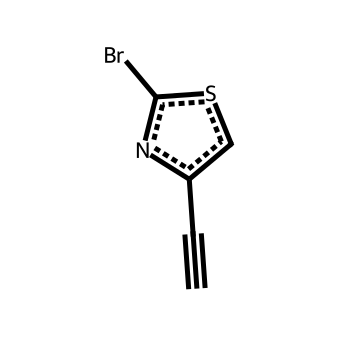 C#Cc1csc(Br)n1